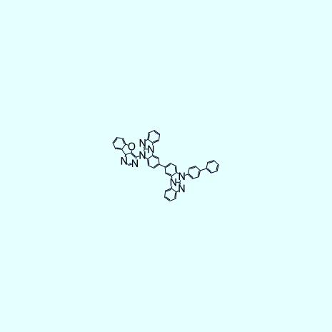 c1ccc(-c2ccc(-n3c4ccc(-c5ccc6c(c5)n5c7ccccc7nc5n6-c5ncnc6c5oc5ccccc56)cc4n4c5ccccc5nc34)cc2)cc1